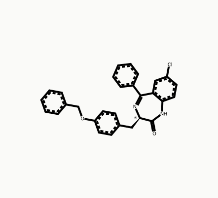 O=C1Nc2ccc(Cl)cc2C(c2ccccc2)=N[C@@H]1Cc1ccc(OCc2ccccc2)cc1